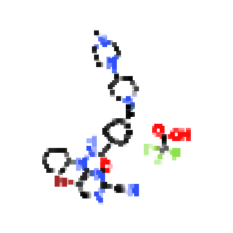 CN1CCN(C2CCN(Cc3ccc(C(=O)NN(c4nc(C#N)ncc4Br)C4CCCCC4)cc3)CC2)CC1.O=C(O)C(F)(F)F